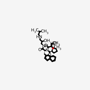 CCC(CC)C(=O)N(C(=O)[C@@H]1CCCN1)[C@H](Cc1ccc2ccccc2c1)C(=O)NCC(O)CNCC(C)C.Cl